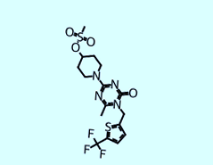 Cc1nc(N2CCC(OS(C)(=O)=O)CC2)nc(=O)n1Cc1ccc(C(F)(F)F)s1